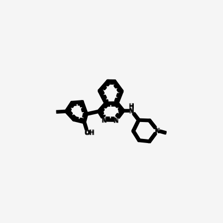 Cc1ccc(-c2nnc(NC3CCCN(C)C3)c3ccccc23)c(O)c1